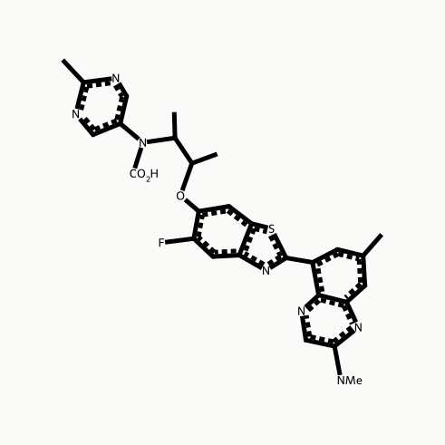 CNc1cnc2c(-c3nc4cc(F)c(OC(C)C(C)N(C(=O)O)c5cnc(C)nc5)cc4s3)cc(C)cc2n1